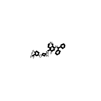 Fc1ccc(OC2CC(NCc3c(F)cc(N=C(c4ccccc4)c4ccccc4)c4cnccc34)C2)cc1C(F)(F)F